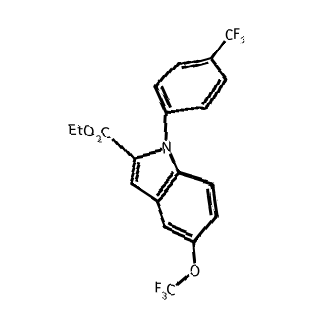 CCOC(=O)c1cc2cc(OC(F)(F)F)ccc2n1-c1ccc(C(F)(F)F)cc1